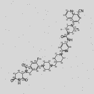 C[C@@H]1CN(c2ccc(C#N)c3ncccc23)[C@@H](C)CN1C(=O)Nc1ccc(N2CCC(CN3CCN(c4cc5c(cc4F)C(=O)N(C4CCC(=O)NC4=O)C5)CC3)CC2)nc1